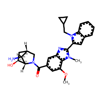 COc1cc(C(=O)N2C[C@H]3C[C@H](O)[C@@H]2[C@@H]3N)cc2nc(-c3cc4ccccc4n3CC3CC3)n(C)c12